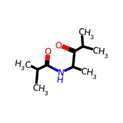 CC(C)C(=O)NC(C)C(=O)C(C)C